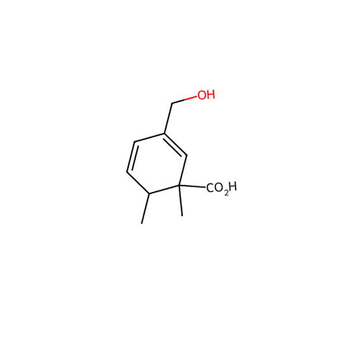 CC1C=CC(CO)=CC1(C)C(=O)O